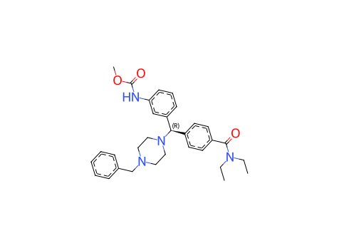 CCN(CC)C(=O)c1ccc([C@H](c2cccc(NC(=O)OC)c2)N2CCN(Cc3ccccc3)CC2)cc1